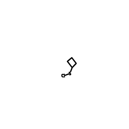 ClSC1CCC1